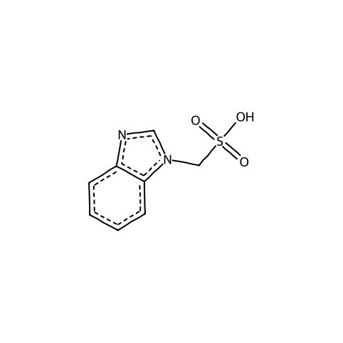 O=S(=O)(O)Cn1cnc2ccccc21